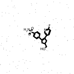 NS(=O)(=O)c1ccc(C2=C(c3ccc(F)nc3)CC(CO)C2)cc1